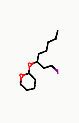 CCCCCC(CCI)OC1CCCCO1